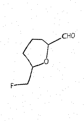 O=CC1CCC(CF)O1